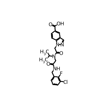 CC(C)N(CC(=O)NCc1cccc(Cl)c1F)C(=O)Cn1ncc2cc(C(=O)O)ccc21